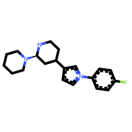 Fc1ccc(-n2ccc(C3CC[N][C@H](N4CCCCC4)C3)c2)cc1